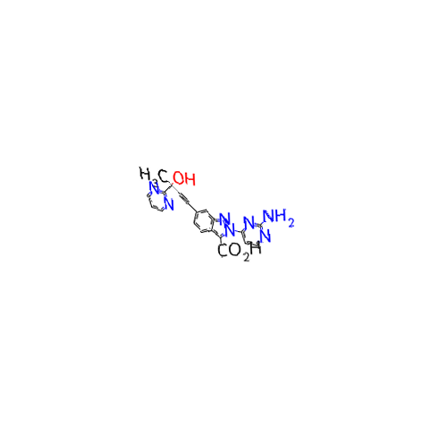 CC(O)(C#Cc1ccc2c(C(=O)O)n(-c3ccnc(N)n3)nc2c1)c1ncccn1